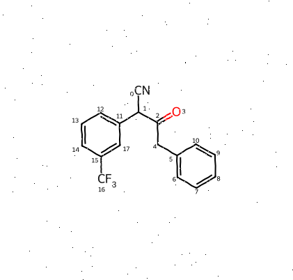 N#CC(C(=O)Cc1ccccc1)c1cccc(C(F)(F)F)c1